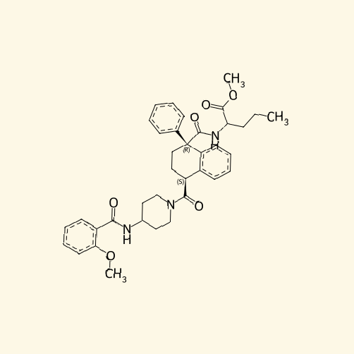 CCCC(NC(=O)[C@@]1(c2ccccc2)CC[C@H](C(=O)N2CCC(NC(=O)c3ccccc3OC)CC2)c2ccccc21)C(=O)OC